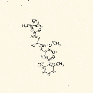 COC(=O)C(CNC(=O)CNC(=O)OC(C)(C)C)NC(=O)c1c(C)cccc1Cl